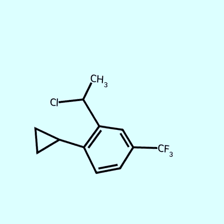 CC(Cl)c1cc(C(F)(F)F)ccc1C1CC1